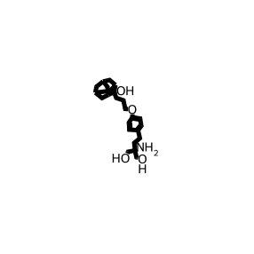 NC(CO)(CO)CCc1ccc(OCCCC2(O)C3CC4CC(C3)CC2C4)cc1